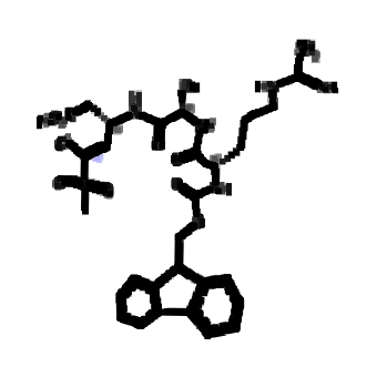 CCC(C)[C@@H](NC(=O)[C@H](CCCNC(=N)N)NC(=O)OCC1c2ccccc2-c2ccccc21)C(=O)N[C@H](/C=C(\Cl)S(C)(=O)=O)CC(=O)O